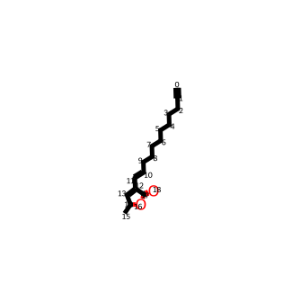 C#CCCCCCCCC/C=C/C1=CC(C)OC1=O